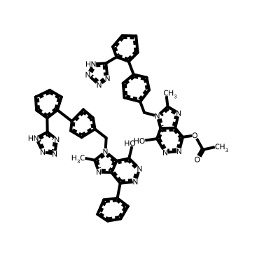 CC(=O)Oc1nnc(O)c2c1nc(C)n2Cc1ccc(-c2ccccc2-c2nnn[nH]2)cc1.Cc1nc2c(-c3ccccc3)nnc(O)c2n1Cc1ccc(-c2ccccc2-c2nnn[nH]2)cc1